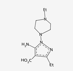 CCc1nn(N2CCN(CC)CC2)c(N)c1C(=O)O